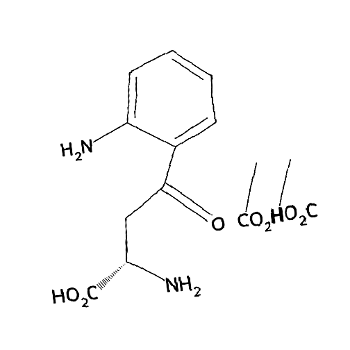 CC(=O)O.CC(=O)O.Nc1ccccc1C(=O)C[C@H](N)C(=O)O